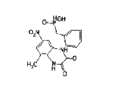 Cc1cc([N+](=O)[O-])cc2[nH]c(=O)c(=O)[nH]c12.O=[PH](O)Cc1ccccc1